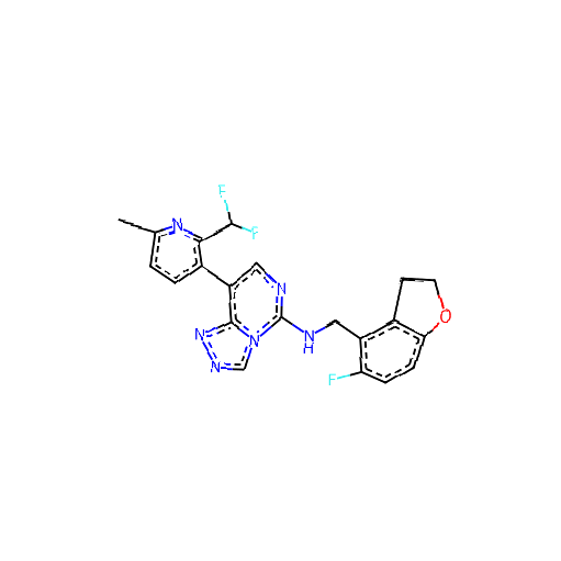 Cc1ccc(-c2cnc(NCc3c(F)ccc4c3CCO4)n3cnnc23)c(C(F)F)n1